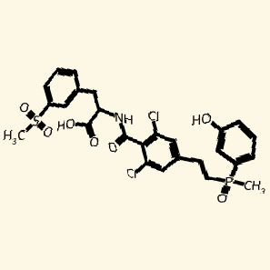 CP(=O)(CCc1cc(Cl)c(C(=O)NC(Cc2cccc(S(C)(=O)=O)c2)C(=O)O)c(Cl)c1)c1cccc(O)c1